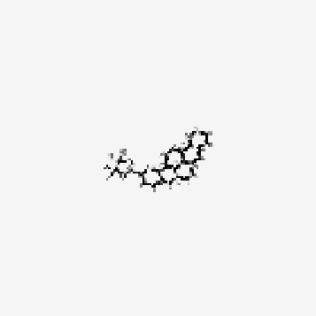 CC1(C)OB(c2ccc3cc4ccc5cc6cccnc6c6ccc(c3n2)c4c56)OC1(C)C